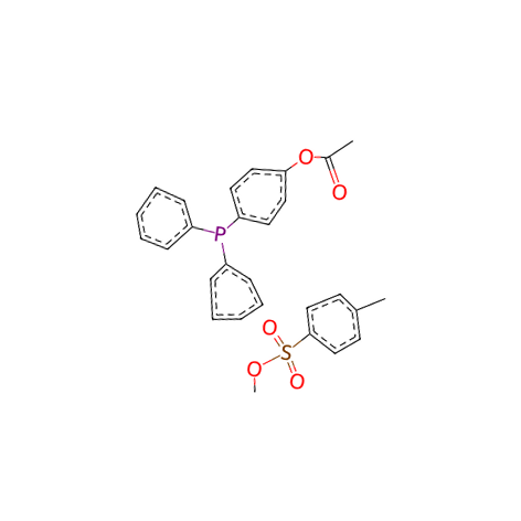 CC(=O)Oc1ccc(P(c2ccccc2)c2ccccc2)cc1.COS(=O)(=O)c1ccc(C)cc1